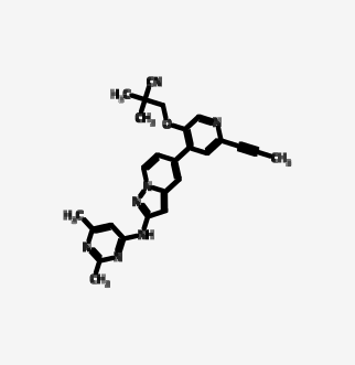 CC#Cc1cc(-c2ccn3nc(Nc4cc(C)nc(C)n4)cc3c2)c(OCC(C)(C)C#N)cn1